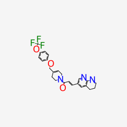 O=C(C=Cc1cnc2c(c1)CCC=N2)N1CC=C(COc2ccc(OC(F)(F)F)cc2)CC1